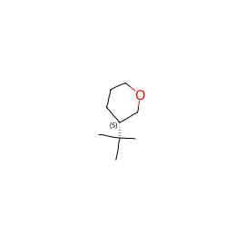 CC(C)(C)[C@@H]1CCCOC1